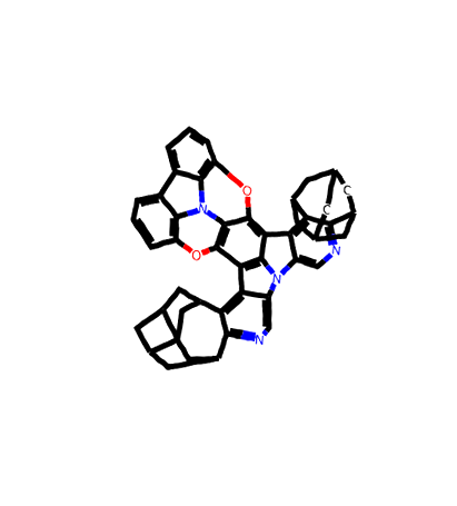 c1cc2oc3c4c5c6c(ncc5n5c7cnc8c(c7c(c7oc9cccc%10c(c1)c2n(c9%10)c37)c45)C1CC2CC3CC8CC32C1)C1CC2CC(C1)CC6C2